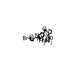 NC(=O)OC1CCCN1C(=O)c1cc(N)n2nc(-c3ccc(Br)o3)nc2c1